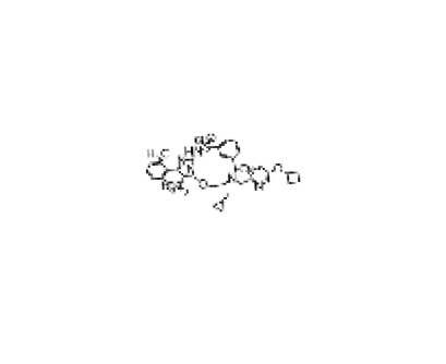 Cc1cccc(C)c1-c1nc2nc(c1C)OC[C@@H](CC1CC1)N(Cc1ncc(OC3CCC3)cn1)C(=O)c1cccc(c1)S(=O)(=O)N2